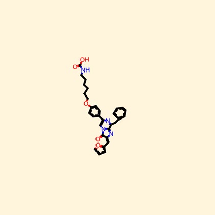 O=C(O)NCCCCCCOc1ccc(C2=CN3C(=O)C(=Cc4ccco4)N=C3C(Cc3ccccc3)=N2)cc1